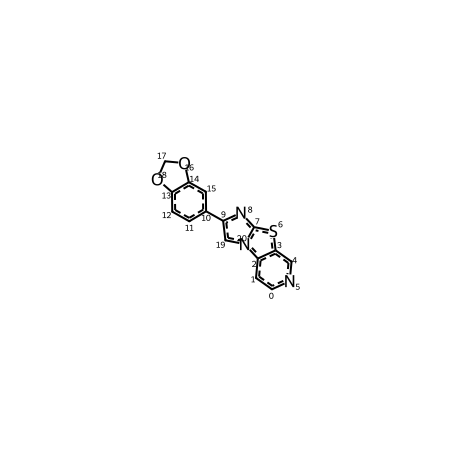 c1cc2c(cn1)sc1nc(-c3ccc4c(c3)OCO4)cn12